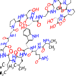 CC[C@H](C)[C@H](NC(=O)[C@H](CC(C)C)NC(=O)[C@H](Cc1c[nH]c2ccccc12)NC(=O)[C@H](CCC(N)=O)NC(=O)[C@@H](N)C(C)C)C(=O)N[C@@H](C)C(=O)NCC(=O)NCC(=O)N1CCC[C@H]1C(=O)N[C@@H](CO)C(=O)N[C@@H](CO)C(=O)NCC(=O)N[C@@H](C)C(=O)N1CCC[C@H]1C(=O)N1CCC[C@H]1C(=O)N1CCC[C@H]1C(=O)N[C@@H](CO)C(=O)O